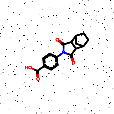 O=C(O)c1ccc(N2C(=O)C3C4CCC(C4)C3C2=O)cc1